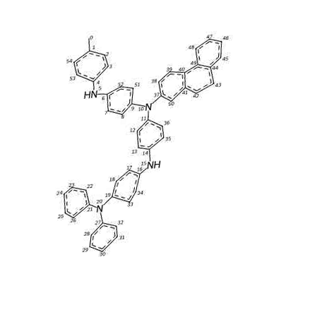 Cc1ccc(Nc2ccc(N(c3ccc(Nc4ccc(N(c5ccccc5)c5ccccc5)cc4)cc3)c3ccc4c(ccc5ccccc54)c3)cc2)cc1